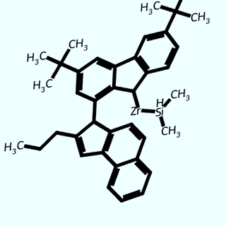 CCCC1=Cc2c(ccc3ccccc23)C1c1cc(C(C)(C)C)cc2c1[CH]([Zr][SiH](C)C)c1ccc(C(C)(C)C)cc1-2